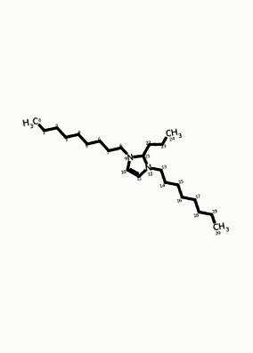 CCCCCCCCCN1C=CN(CCCCCCCC)C1CCC